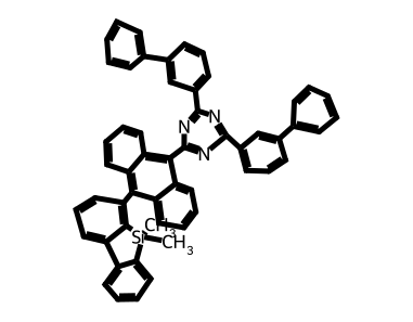 C[Si]1(C)c2ccccc2-c2cccc(-c3c4ccccc4c(-c4nc(-c5cccc(-c6ccccc6)c5)nc(-c5cccc(-c6ccccc6)c5)n4)c4ccccc34)c21